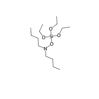 CCCCN(CCCC)O[Si](OCC)(OCC)OCC